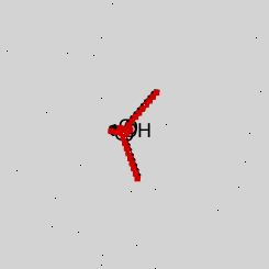 CCCCCCCCCCCCCCCCCC(=O)OC(=Cc1ccccc1)C(CO)OC(=O)CCCCCCCCCCCCCCCCC